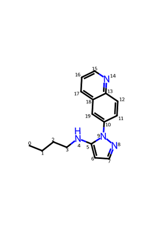 CCCCNc1ccnn1-c1ccc2ncccc2c1